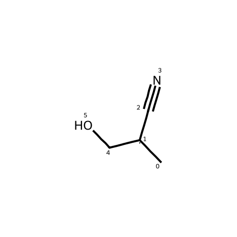 C[C](C#N)CO